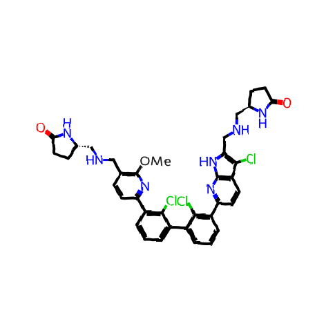 COc1nc(-c2cccc(-c3cccc(-c4ccc5c(Cl)c(CNC[C@H]6CCC(=O)N6)[nH]c5n4)c3Cl)c2Cl)ccc1CNC[C@@H]1CCC(=O)N1